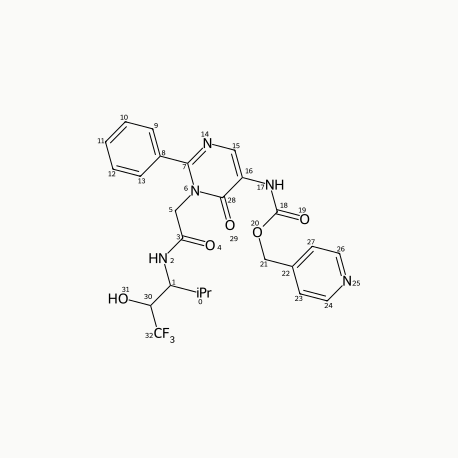 CC(C)C(NC(=O)Cn1c(-c2ccccc2)ncc(NC(=O)OCc2ccncc2)c1=O)C(O)C(F)(F)F